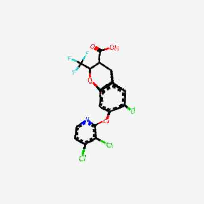 O=C(O)C1Cc2cc(Cl)c(Oc3nccc(Cl)c3Cl)cc2OC1C(F)(F)F